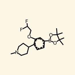 CN1CCC(c2ccc(B3OC(C)(C)C(C)(C)O3)cc2OCC(F)F)CC1